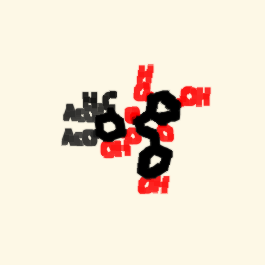 CC(=O)OC1C(C)CC(Oc2c(-c3ccc(O)cc3)oc3cc(O)cc(O)c3c2=O)C(O)C1OC(C)=O